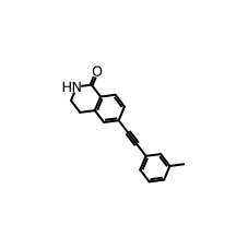 Cc1cccc(C#Cc2ccc3c(c2)CCNC3=O)c1